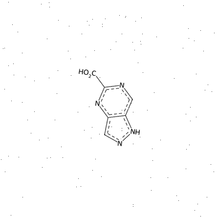 O=C(O)c1ncc2[nH]ncc2n1